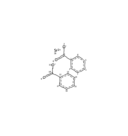 O=C([O-])c1ccccc1.O=C([O-])c1ccccc1.[Sr+2]